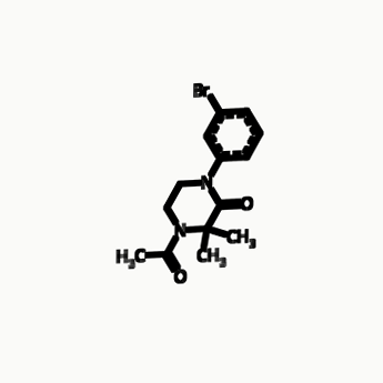 CC(=O)N1CCN(c2cccc(Br)c2)C(=O)C1(C)C